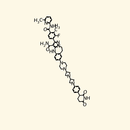 Cc1cccc(NC(=O)c2ccc(-c3nn4c(c3C(N)=O)Nc3ccc(N5CCN(C6CN(C7CN(c8ccc(C9CCC(=O)NC9=O)cc8)C7)C6)CC5)cc3CC4)c(F)c2C)n1